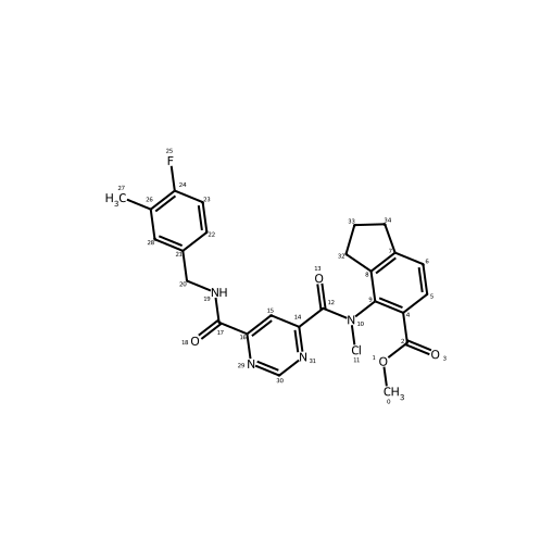 COC(=O)c1ccc2c(c1N(Cl)C(=O)c1cc(C(=O)NCc3ccc(F)c(C)c3)ncn1)CCC2